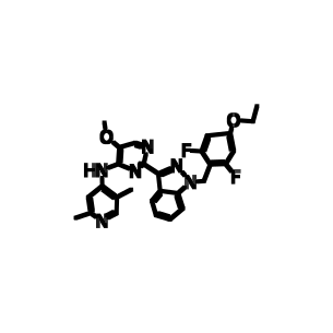 CCOc1cc(F)c(Cn2nc(-c3ncc(OC)c(Nc4cc(C)ncc4C)n3)c3ccccc32)c(F)c1